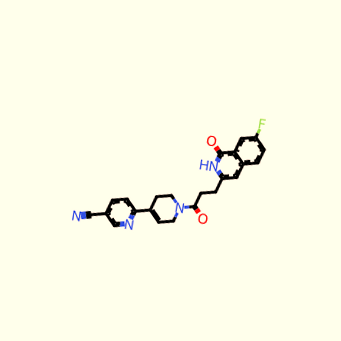 N#Cc1ccc(C2=CCN(C(=O)CCc3cc4ccc(F)cc4c(=O)[nH]3)CC2)nc1